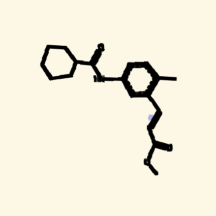 COC(=O)/C=C/c1cc(NC(=O)C2CCCCC2)ccc1C